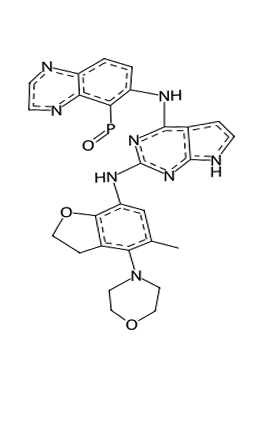 Cc1cc(Nc2nc(Nc3ccc4nccnc4c3P=O)c3cc[nH]c3n2)c2c(c1N1CCOCC1)CCO2